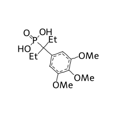 CCC(CC)(c1cc(OC)c(OC)c(OC)c1)P(=O)(O)O